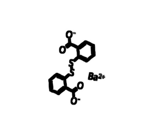 O=C([O-])c1ccccc1SSc1ccccc1C(=O)[O-].[Ba+2]